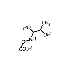 CC(O)C(O)NOC(=O)O